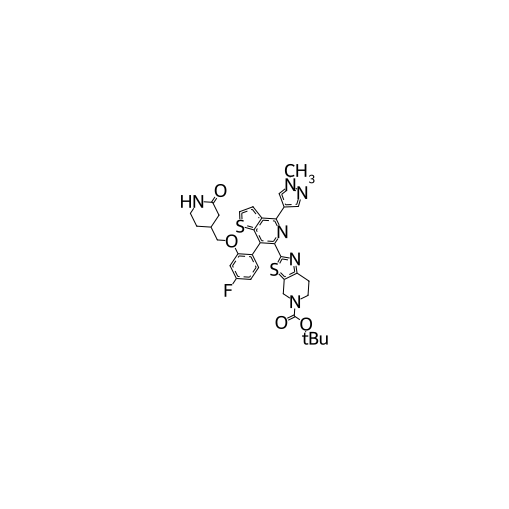 Cn1cc(-c2nc(-c3nc4c(s3)CN(C(=O)OC(C)(C)C)CC4)c(-c3ccc(F)cc3OCC3CCNC(=O)C3)c3sccc23)cn1